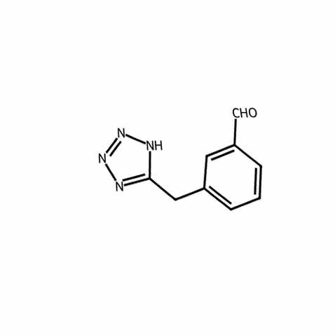 O=Cc1cccc(Cc2nnn[nH]2)c1